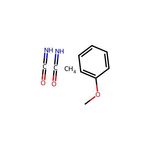 C.COc1ccccc1.N=C=O.N=C=O